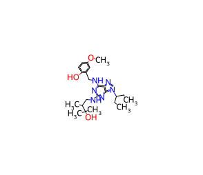 CCC(CC)n1cnc2c(NCc3cc(OC)ccc3O)nc(NCC(C)C(C)(C)O)nc21